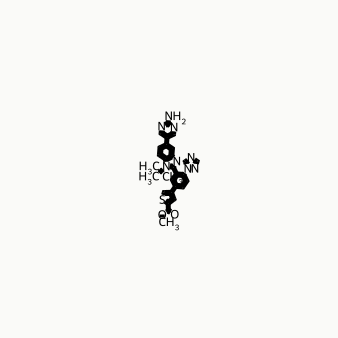 COC(=O)c1cc(-c2ccc(-n3cncn3)c(-c3nc4cc(-c5cnc(N)nc5)ccc4n3C(C)(C)C)c2)cs1